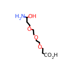 NC(O)CCOCCOCCOCCC(=O)O